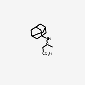 CN(CC(=O)O)NC12CC3CC(CC(C3)C1)C2